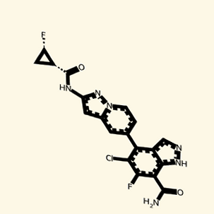 NC(=O)c1c(F)c(Cl)c(-c2ccn3nc(NC(=O)[C@@H]4C[C@@H]4F)cc3c2)c2cn[nH]c12